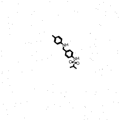 Cc1ccc(NCc2ccc(NS(=O)(=O)C(C)C)cc2)cc1